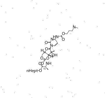 CCCCCCCOC(=O)[C@H](C)NP1(=O)OC[C@H]2O[C@@H](n3ccc(NC(=O)OCCCN(C)C)nc3=O)[C@](C)(O)[C@@H]2O1